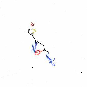 [N-]=[N+]=NCC1CC(c2ccc(Br)s2)=NO1